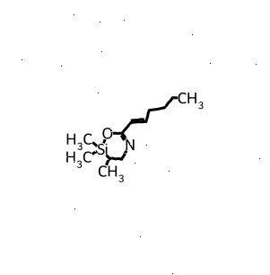 CCCCC=CC1=NCC(C)[Si](C)(C)O1